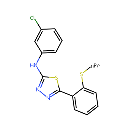 [CH2]C[CH]Sc1ccccc1-c1nnc(Nc2cccc(Cl)c2)s1